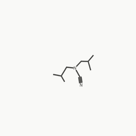 CC(C)CN(C#N)CC(C)C